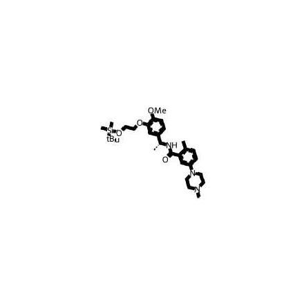 COc1ccc([C@@H](C)NC(=O)c2cc(N3CCN(C)CC3)ccc2C)cc1OCCO[Si](C)(C)C(C)(C)C